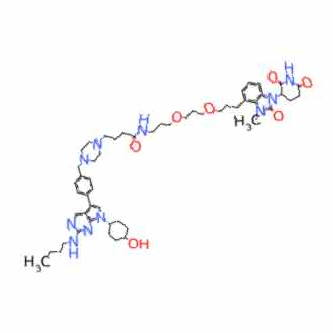 CCCCNc1ncc2c(-c3ccc(CN4CCN(CCCC(=O)NCCCOCCCOCCCc5cccc6c5n(C)c(=O)n6C5CCC(=O)NC5=O)CC4)cc3)cn([C@H]3CC[C@H](O)CC3)c2n1